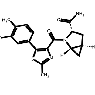 Cc1nc(C(=O)N2[C@H](C(N)=O)C[C@H]3C[C@@H]32)c(-c2ccc(C)c(F)c2)s1